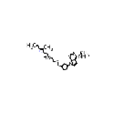 C=C/C=C(\C)CCNCCSC[C@@H]1CC[C@H](n2ccc3c(NC)ncnc32)C1